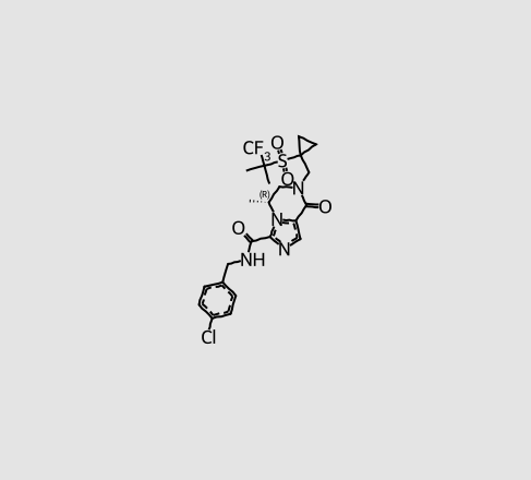 C[C@@H]1CN(CC2(S(=O)(=O)C(C)(C)C(F)(F)F)CC2)C(=O)c2cnc(C(=O)NCc3ccc(Cl)cc3)n21